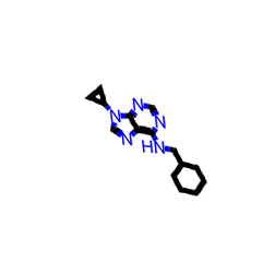 c1nc(NCC2CCCCC2)c2ncn(C3CC3)c2n1